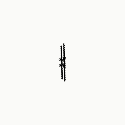 CCCCCCCCCCCCCCOC(=O)CCSCCC(=O)OCCCCCCCCCCCCCC.CCCCCCCCCCCCOC(=O)CCSCCC(=O)OCCCCCCCCCCCC